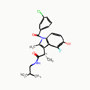 Cc1c([C@H](C)C(=O)NCC(C)C(=O)O)c2c(F)c(O)ccc2n1C(=O)c1cccc(Cl)c1